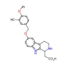 CC(C)Oc1ccc(COc2ccc3[nH]c4c(c3c2)CCNC4CC(=O)O)cc1C#N